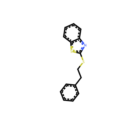 c1ccc(CCSc2nc3ccccc3s2)cc1